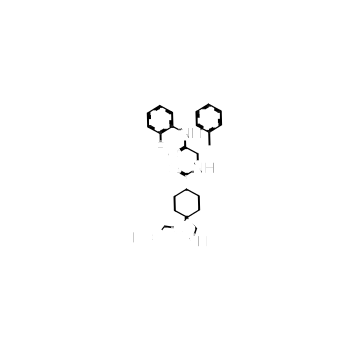 CCO[C@]1(CS)CC[C@H](C(=O)N[C@@H](Cc2ccccc2)C(=O)Nc2ccccc2F)CC1